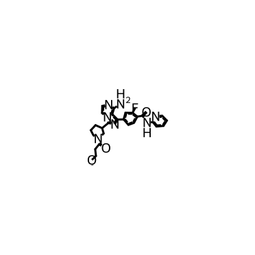 COCCC(=O)N1CCCC(c2nc(-c3ccc(C(=O)Nc4ccccn4)c(F)c3)c3c(N)nccn23)C1